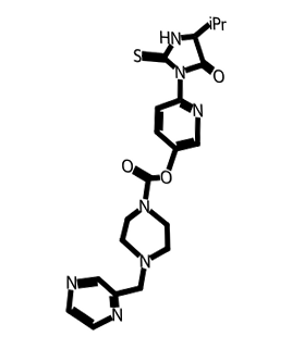 CC(C)C1NC(=S)N(c2ccc(OC(=O)N3CCN(Cc4cnccn4)CC3)cn2)C1=O